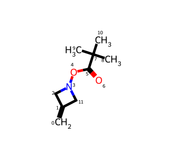 C=C1CN(OC(=O)C(C)(C)C)C1